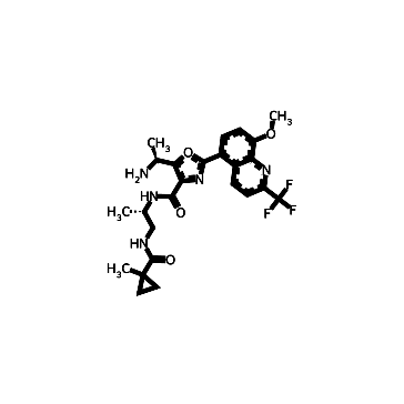 COc1ccc(-c2nc(C(=O)N[C@@H](C)CNC(=O)C3(C)CC3)c([C@H](C)N)o2)c2ccc(C(F)(F)F)nc12